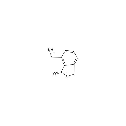 NCc1cccc2c1C(=O)OC2